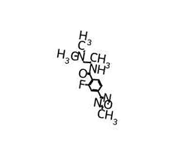 CCN(C)C[C@@H](C)NC(=O)c1ccc(-c2noc(C)n2)cc1F